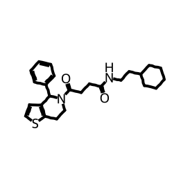 O=C(CCC(=O)N1CCc2sccc2C1c1ccccc1)NCCC1CCCCC1